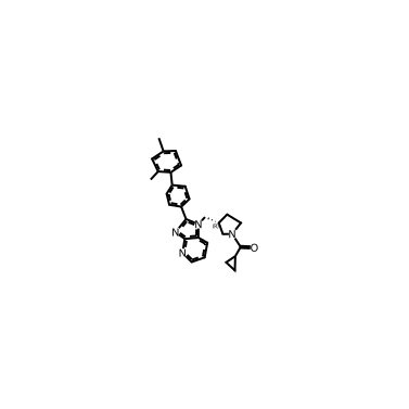 Cc1ccc(-c2ccc(-c3nc4ncccc4n3C[C@@H]3CCN(C(=O)C4CC4)C3)cc2)c(C)c1